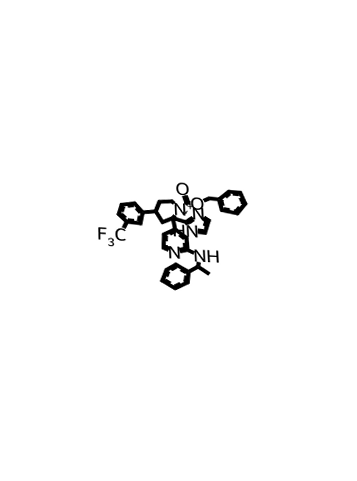 CC(Nc1cc(C2(c3ncc[nH]3)CC(c3cccc(C(F)(F)F)c3)CC[N+]2(C)C(=O)OCc2ccccc2)ccn1)c1ccccc1